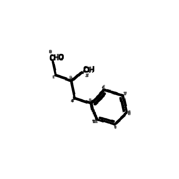 O=CCC(O)Cc1ccccc1